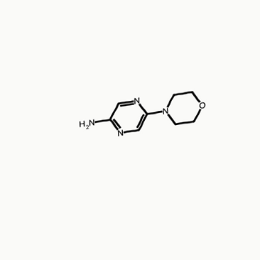 Nc1cnc(N2CCOCC2)cn1